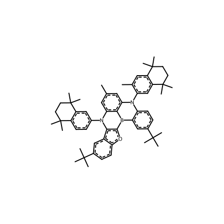 Cc1cc2c3c(c1)N(c1ccc4c(c1)C(C)(C)CCC4(C)C)c1c(oc4ccc(C(C)(C)C)cc14)B3c1cc(C(C)(C)C)ccc1N2c1cc2c(cc1C)C(C)(C)CCC2(C)C